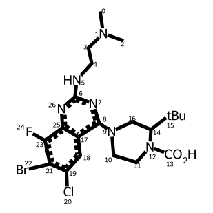 CN(C)CCNc1nc(N2CCN(C(=O)O)C(C(C)(C)C)C2)c2cc(Cl)c(Br)c(F)c2n1